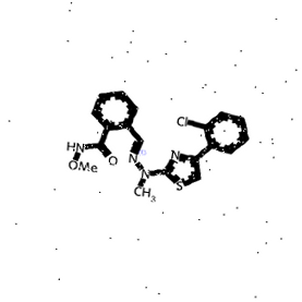 CONC(=O)c1ccccc1/C=N/N(C)c1nc(-c2ccccc2Cl)cs1